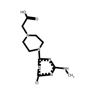 CNc1nc(Cl)nc(N2CCN(CC(=O)O)CC2)n1